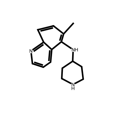 Cc1ccc2ncccc2c1NC1CCNCC1